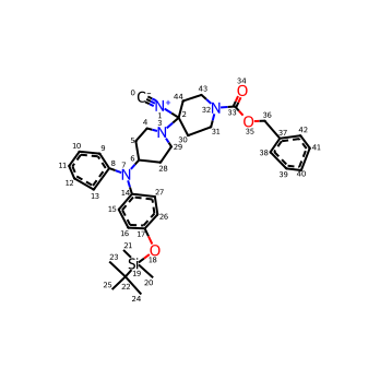 [C-]#[N+]C1(N2CCC(N(c3ccccc3)c3ccc(O[Si](C)(C)C(C)(C)C)cc3)CC2)CCN(C(=O)OCc2ccccc2)CC1